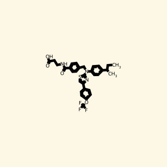 CCC(C)c1ccc(N(Cc2ccc(C(=O)NCCC(=O)O)cc2)c2nc(-c3ccc(OC(F)(F)F)cc3)cs2)cc1